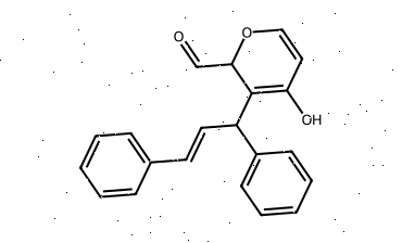 O=CC1OC=CC(O)=C1C(/C=C/c1ccccc1)c1ccccc1